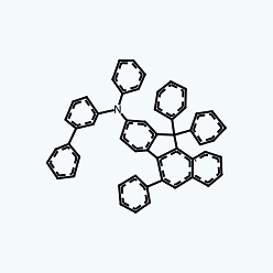 c1ccc(-c2cccc(N(c3ccccc3)c3ccc4c(c3)C(c3ccccc3)(c3ccccc3)c3c-4c(-c4ccccc4)cc4ccccc34)c2)cc1